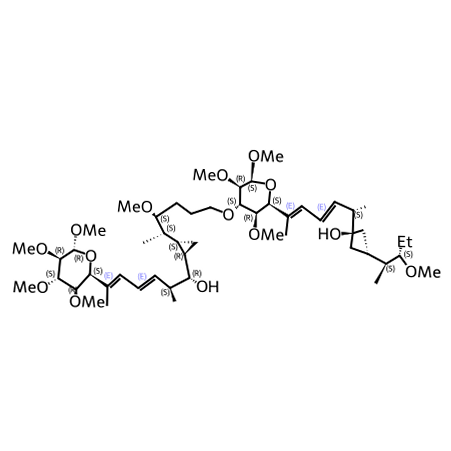 CC[C@H](OC)[C@@H](C)[C@H]1C[C@@](O)([C@@H](C)/C=C/C=C(\C)[C@@H]2O[C@H](OC)[C@H](OC)[C@@H](OCCC[C@H](OC)[C@@H](C)[C@@H]3C[C@H]3[C@H](O)[C@@H](C)/C=C/C=C(\C)[C@@H]3O[C@@H](OC)[C@H](OC)[C@@H](OC)[C@@H]3OC)[C@@H]2OC)C1